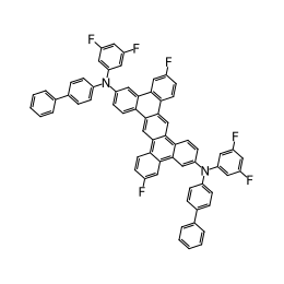 Fc1cc(F)cc(N(c2ccc(-c3ccccc3)cc2)c2ccc3c(c2)c2cc(F)ccc2c2cc4c5ccc(N(c6ccc(-c7ccccc7)cc6)c6cc(F)cc(F)c6)cc5c5cc(F)ccc5c4cc32)c1